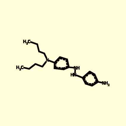 CCCCN(CCCC)c1ccc(NNc2ccc(N)cc2)cc1